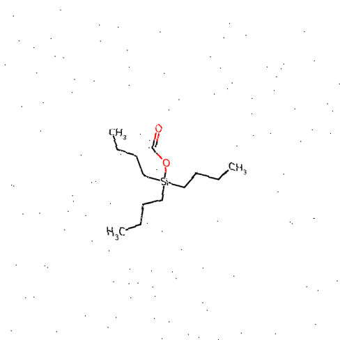 CCCC[Si](CCCC)(CCCC)O[C]=O